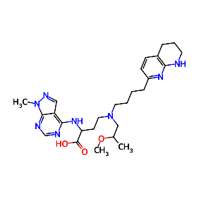 COC(C)CN(CCCCc1ccc2c(n1)NCCC2)CCC(Nc1ncnc2c1cnn2C)C(=O)O